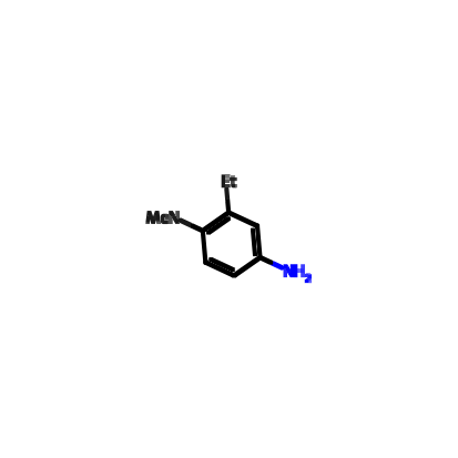 CCc1cc(N)ccc1NC